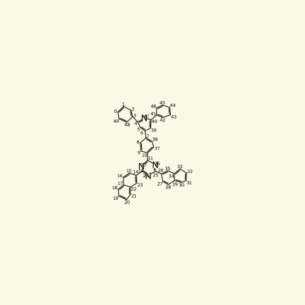 c1ccc(-c2cc(-c3ccc(-c4nc(-c5ccc6ccccc6c5)nc(-c5ccc6ccccc6c5)n4)cc3)cc(-c3ccccc3)n2)cc1